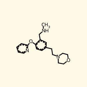 CNCc1cc(CCN2CCOCC2)ccc1Oc1ccccn1